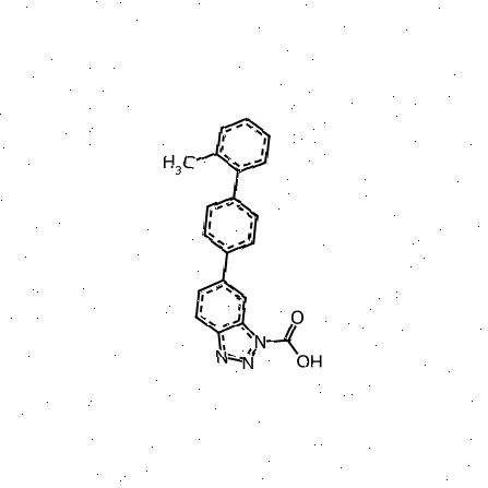 Cc1ccccc1-c1ccc(-c2ccc3nnn(C(=O)O)c3c2)cc1